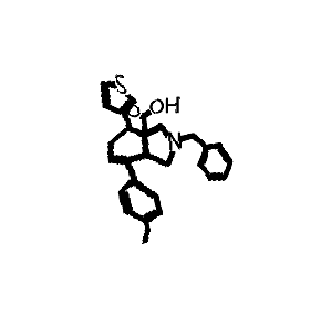 Cc1ccc(C2=CCC(c3ccsc3)C3(C(=O)O)CN(Cc4ccccc4)CC23)cc1